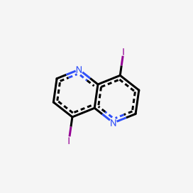 Ic1ccnc2c(I)ccnc12